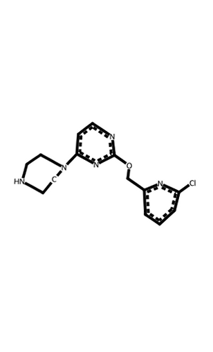 Clc1cccc(COc2nccc(N3CCNCC3)n2)n1